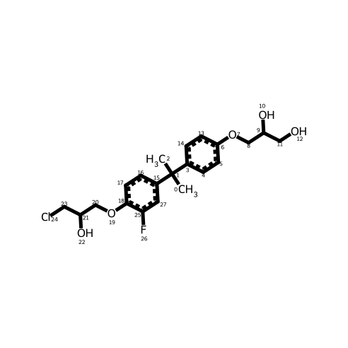 CC(C)(c1ccc(OCC(O)CO)cc1)c1ccc(OCC(O)CCl)c(F)c1